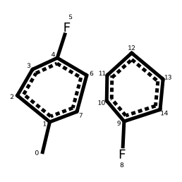 Cc1ccc(F)cc1.Fc1ccccc1